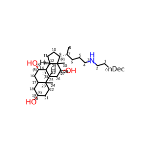 CCCCCCCCCCCCNCCCC(C)[C@H]1CC[C@H]2C3[C@H](O)CC4C[C@H](O)CCC4(C)[C@H]3C[C@H](O)C12C